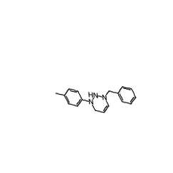 Cc1ccc(N2CC=CN(Cc3ccccc3)N2)cc1